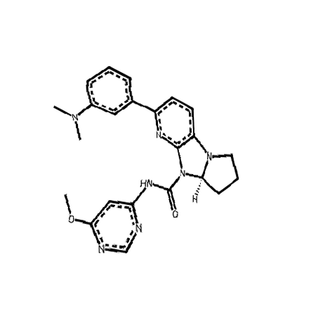 COc1cc(NC(=O)N2c3nc(-c4cccc(N(C)C)c4)ccc3N3CCC[C@H]32)ncn1